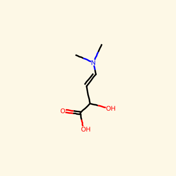 CN(C)C=CC(O)C(=O)O